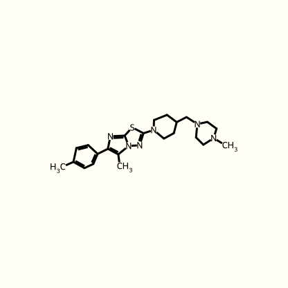 Cc1ccc(-c2nc3sc(N4CCC(CN5CCN(C)CC5)CC4)nn3c2C)cc1